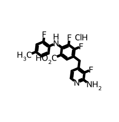 Cc1ccc(Nc2c(C(=O)O)cc(Cc3ccnc(N)c3F)c(F)c2F)c(F)c1.Cl